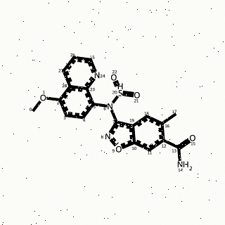 COc1ccc(N(c2noc3cc(C(N)=O)c(C)cc23)[SH](=O)=O)c2ncccc12